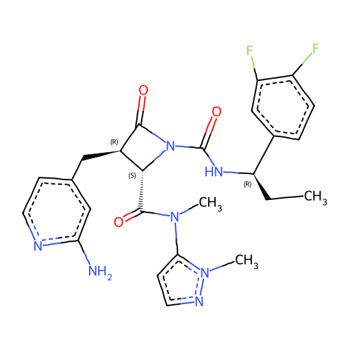 CC[C@@H](NC(=O)N1C(=O)[C@H](Cc2ccnc(N)c2)[C@H]1C(=O)N(C)c1ccnn1C)c1ccc(F)c(F)c1